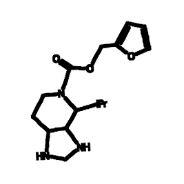 CC(C)C1C2NCNC2CCN1C(=O)OCc1ccco1